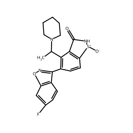 CC(c1c(-c2noc3cc(F)ccc23)ccc2c1c(=O)[nH][s+]2[O-])N1CCCCC1